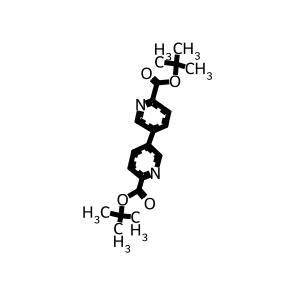 CC(C)(C)OC(=O)c1ccc(-c2ccc(C(=O)OC(C)(C)C)nc2)cn1